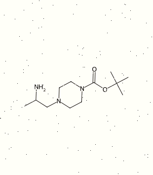 CC(N)CN1CCN(C(=O)OC(C)(C)C)CC1